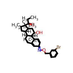 CCC(=O)[C@@]1(C)[C@H](C)C[C@H]2[C@@H]3CCC4=C/C(=N/OCc5cccc(Br)c5)C=C[C@]4(C)[C@H]3[C@@H](O)C[C@@]21C